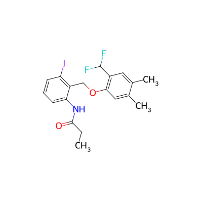 CCC(=O)Nc1cccc(I)c1COc1cc(C)c(C)cc1C(F)F